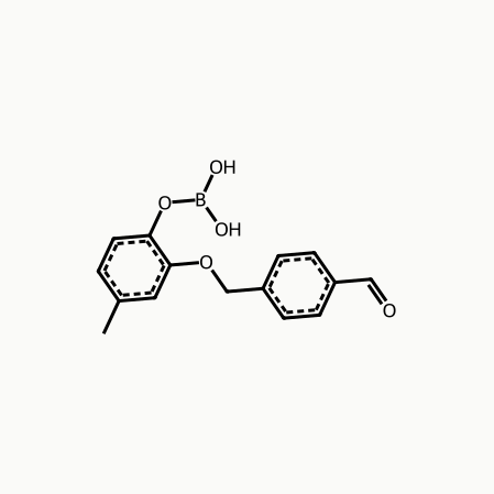 Cc1ccc(OB(O)O)c(OCc2ccc(C=O)cc2)c1